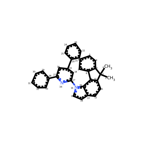 CC1(C)c2ccccc2-c2c1ccc1ccn(-c3cc(-c4ccccc4)cc(-c4ccccc4)n3)c21